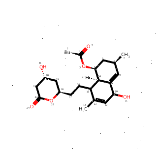 CC[C@H](C)C(=O)O[C@H]1C[C@@H](C)C=C2C(O)C=C(C)C(CC[C@@H]3C[C@@H](O)CC(=O)O3)[C@H]21